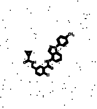 Cc1ccc(-n2ncc3c(NC(=O)c4cc(CNC(=O)C5CC5)ccc4Cl)cccc32)cc1